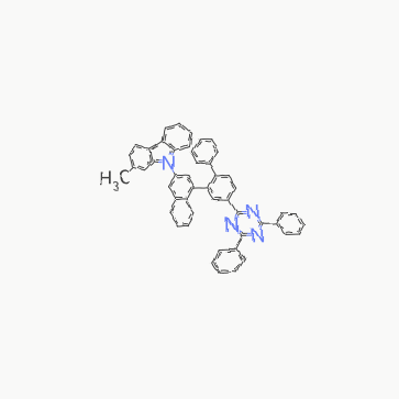 Cc1ccc2c3ccccc3n(-c3cc(-c4cc(-c5nc(-c6ccccc6)nc(-c6ccccc6)n5)ccc4-c4ccccc4)c4ccccc4c3)c2c1